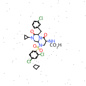 C1CCC1.O=C(O)NC1CN(S(=O)(=O)c2ccc(Cl)cc2Cl)C2CN(C3CC3)C(=O)C(Cc3cccc(Cl)c3)N2C1=O